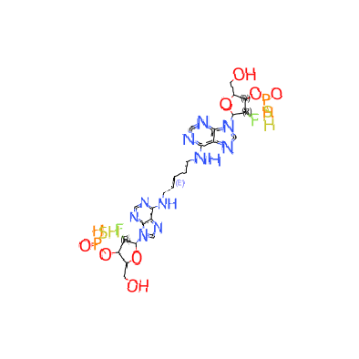 O=[PH](S)OC1C(CO)OC(n2cnc3c(NC/C=C/CCNc4ncnc5c4ncn5C4OC(CO)[C@@H](O[PH](=O)S)[C@H]4F)ncnc32)[C@@H]1F